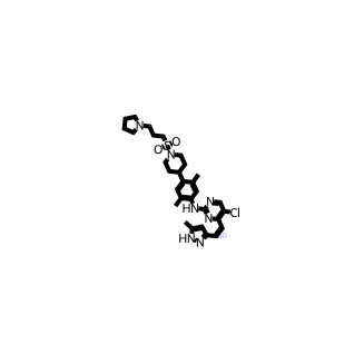 Cc1cc(/C=C\c2nc(Nc3cc(C)c(C4CCN(S(=O)(=O)CCCN5CCCC5)CC4)cc3C)ncc2Cl)n[nH]1